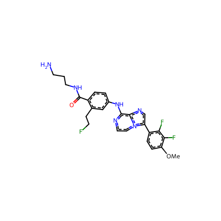 COc1ccc(-c2cnc3c(Nc4ccc(C(=O)NCCCN)c(CCF)c4)nccn23)c(F)c1F